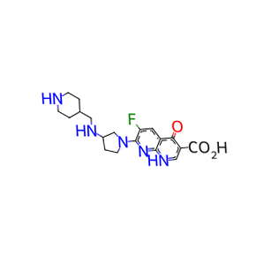 O=C(O)c1c[nH]c2nc(N3CCC(NCC4CCNCC4)C3)c(F)cc2c1=O